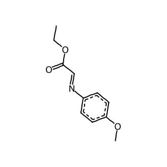 CCOC(=O)C=Nc1ccc(OC)cc1